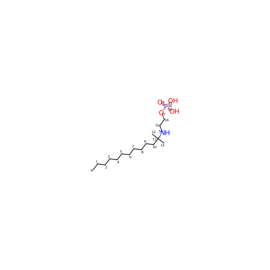 CCCCCCCCCCCC(C)(C)NCCOP(=O)(O)O